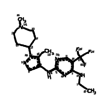 CCNc1nc(Nc2cnn(C3CCN(C)CC3)c2C)ncc1C(F)(F)F